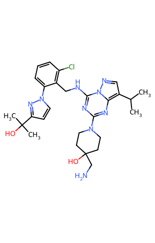 CC(C)c1cnn2c(NCc3c(Cl)cccc3-n3ccc(C(C)(C)O)n3)nc(N3CCC(O)(CN)CC3)nc12